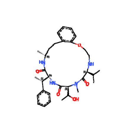 CC(C)[C@@H]1NCCOc2ccccc2CC[C@@H](C)NC(=O)[C@@H]([C@@H](C)c2ccccc2)NC(=O)[C@H](C(C)O)N(C)C1=O